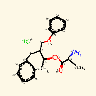 CC(N)C(=O)OC(C)C(COc1ccccc1)Cc1ccccc1.Cl